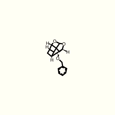 c1ccc(COC[C@]23[C@@H]4C[C@H]2[C@@H]2OC5O[C@H]4CC523)cc1